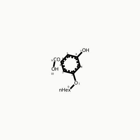 CCCCCCOc1cccc(O)c1.O=C(O)O